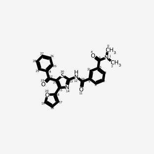 CN(C)C(=O)c1cccc(C(=O)Nc2nc(-c3ccco3)c(C(=O)c3ccccc3)s2)c1